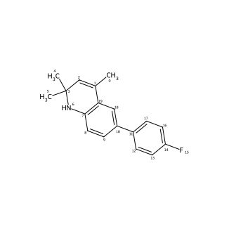 CC1=CC(C)(C)Nc2ccc(-c3ccc(F)cc3)cc21